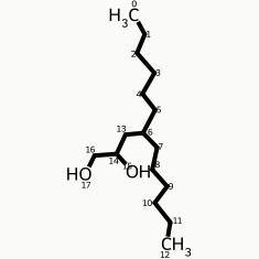 CCCCCCC(CCCCCC)CC(O)CO